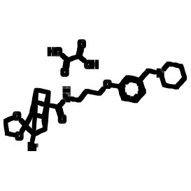 O=C(NCCCOc1cccc(CN2CCCCC2)c1)C12C3C4C1C1C2C3C1(Br)C41OCCO1.O=C(O)C(=O)O